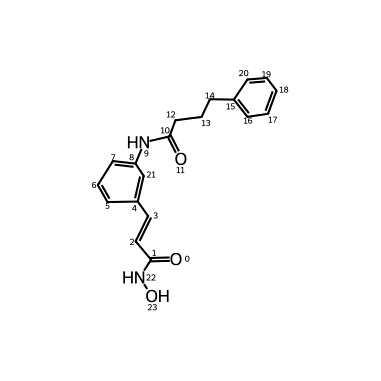 O=C(C=Cc1cccc(NC(=O)CCCc2ccccc2)c1)NO